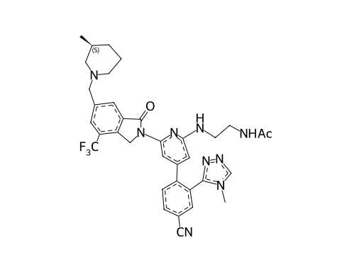 CC(=O)NCCNc1cc(-c2ccc(C#N)cc2-c2nncn2C)cc(N2Cc3c(cc(CN4CCC[C@H](C)C4)cc3C(F)(F)F)C2=O)n1